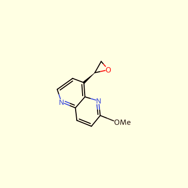 COc1ccc2nccc([C@H]3CO3)c2n1